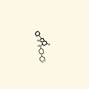 Fc1cc(NC2CCN(C3CCOOC3)CC2)c2[nH]c(-c3ccccc3)cc2c1